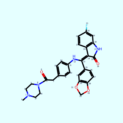 CN1CCN(C(=O)Cc2ccc(NC(=C3C(=O)Nc4cc(F)ccc43)c3ccc4c(c3)OCO4)cc2)CC1